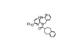 CCOc1ccc2c(n1)N(C(=O)C1CCc3ccccc3CC1)Cc1cccnc1N2